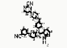 N#Cc1cccc(-c2ccc3nc(-c4cccnc4N)n(-c4ccc(CN5CCN(c6ccnc(C#N)n6)CC5)cc4)c3n2)c1